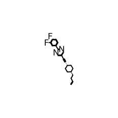 C=CCC[C@H]1CC[C@H](C#Cc2cnc(-c3ccc(F)c(F)c3)nc2)CC1